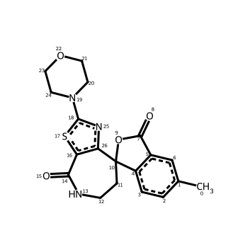 Cc1ccc2c(c1)C(=O)OC21CCNC(=O)c2sc(N3CCOCC3)nc21